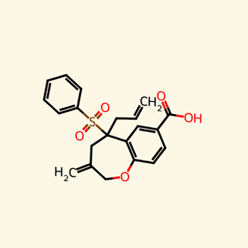 C=CCC1(S(=O)(=O)c2ccccc2)CC(=C)COc2ccc(C(=O)O)cc21